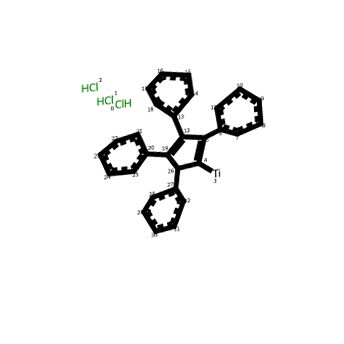 Cl.Cl.Cl.[Ti][C]1=C(c2ccccc2)C(c2ccccc2)=C(c2ccccc2)C1c1ccccc1